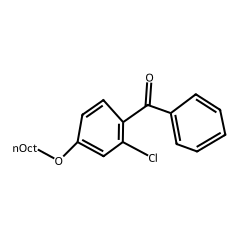 CCCCCCCCOc1ccc(C(=O)c2ccccc2)c(Cl)c1